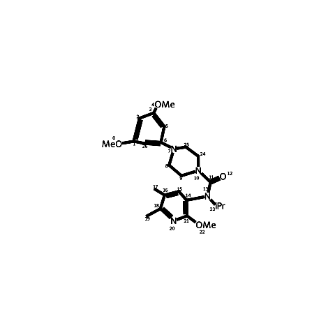 COc1cc(OC)cc(N2CCN(C(=O)N(c3cc(C)c(C)nc3OC)C(C)C)CC2)c1